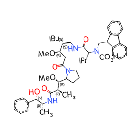 CC[C@H](C)[C@@H](CNC(=O)C(C(C)C)N(CC1c2ccccc2-c2ccccc21)C(=O)O)[C@@H](CC(=O)N1CCCC1[C@H](OC)[C@@H](C)C(=O)N[C@H](C)[C@@H](O)c1ccccc1)OC